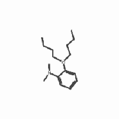 CCC[CH2][In]([CH2]CCC)[c]1ccccc1N(C)C